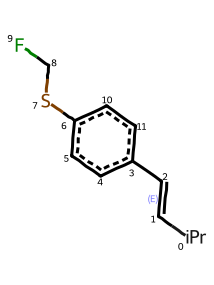 CC(C)/C=C/c1ccc(SCF)cc1